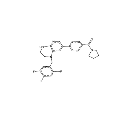 O=C(c1ccc(-c2cnc3c(c2)N(Cc2cc(F)c(F)cc2F)CCN3)cc1)N1CCCC1